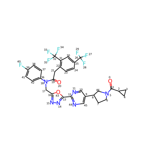 O=C(C1CC1)N1CCC(c2cnc(-c3nnc(CN(C(=O)Cc4ccc(C(F)(F)F)cc4C(F)(F)F)c4ccc(F)cc4)o3)nc2)C1